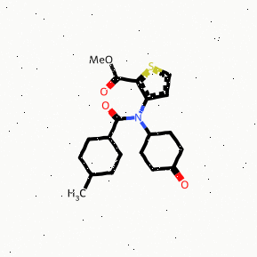 COC(=O)c1sccc1N(C(=O)C1CCC(C)CC1)C1CCC(=O)CC1